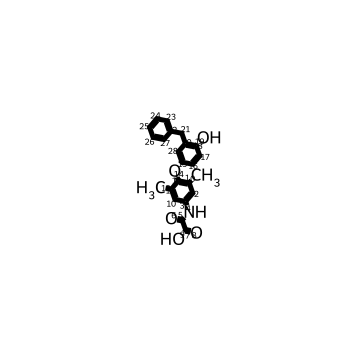 Cc1cc(NC(=O)C(=O)O)cc(C)c1Oc1ccc(O)c(Cc2ccccc2)c1